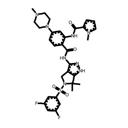 CN1CCN(c2ccc(C(=O)Nc3n[nH]c4c3CN(S(=O)(=O)c3cc(F)cc(F)c3)C4(C)C)c(NC(=O)c3cccn3C)c2)CC1